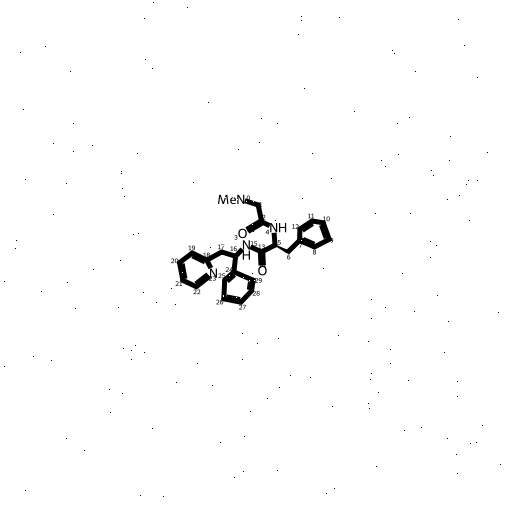 CNCC(=O)N[C@@H](Cc1ccccc1)C(=O)NC(Cc1ccccn1)c1ccccc1